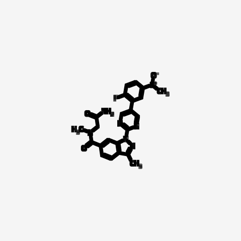 Cc1nn(-c2ncc(-c3cc([S+](C)[O-])ccc3F)cn2)c2cc(C(=O)N(C)CC(N)=O)ccc12